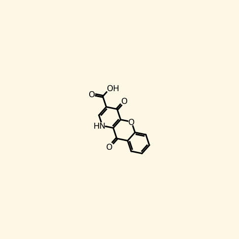 O=C(O)c1c[nH]c2c(=O)c3ccccc3oc2c1=O